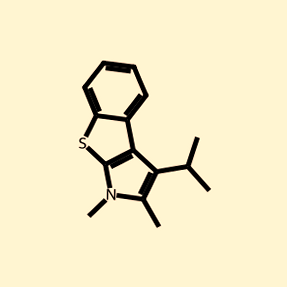 Cc1c(C(C)C)c2c3ccccc3sc2n1C